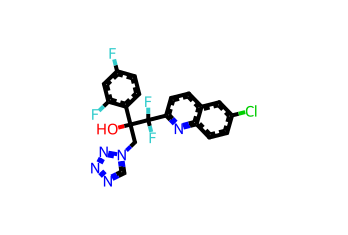 OC(Cn1cnnn1)(c1ccc(F)cc1F)C(F)(F)c1ccc2cc(Cl)ccc2n1